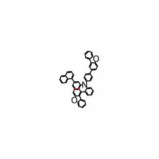 c1cc(-c2cccc3ccccc23)cc(N(c2ccc(-c3ccc4oc5ccccc5c4c3)cc2)c2ccccc2-c2cccc3oc4ccccc4c23)c1